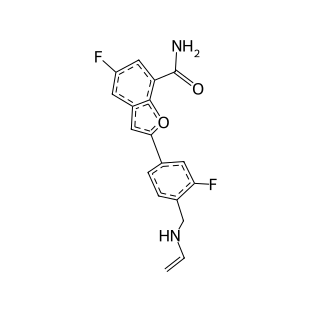 C=CNCc1ccc(-c2cc3cc(F)cc(C(N)=O)c3o2)cc1F